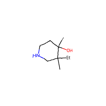 CCC1(C)CNCCC1(C)O